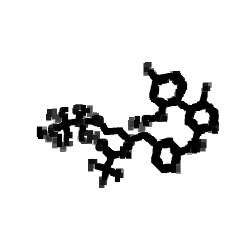 COc1cc(F)ccc1-c1cc(Nc2cc(CS(CCO[Si](C)(C)C(C)(C)C)=NC(=O)C(F)(F)F)ccn2)ncc1F